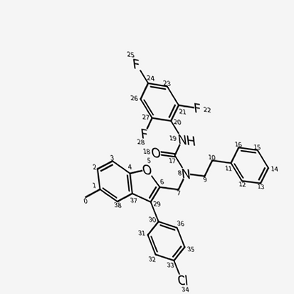 Cc1ccc2oc(CN(CCc3ccccc3)C(=O)Nc3c(F)cc(F)cc3F)c(-c3ccc(Cl)cc3)c2c1